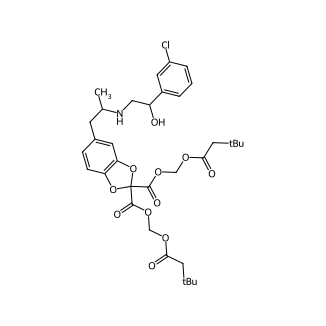 CC(Cc1ccc2c(c1)OC(C(=O)OCOC(=O)CC(C)(C)C)(C(=O)OCOC(=O)CC(C)(C)C)O2)NCC(O)c1cccc(Cl)c1